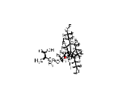 C=C(C)C(=O)O.FOC(F)(F)C(F)(F)C12C(F)(F)C3(F)C(F)(F)C(C(F)(F)C(F)(F)OF)(C1(F)F)C(F)(F)C(C(F)(F)C(F)(F)OF)(C3(F)F)C2(F)F